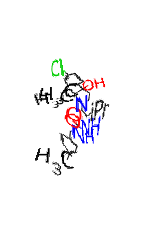 Cc1ccc(CNC(=O)N[C@@H](C(=O)N2CCC(O)(c3ccc(Cl)cc3)C(C)(C)C2)C(C)C)cc1